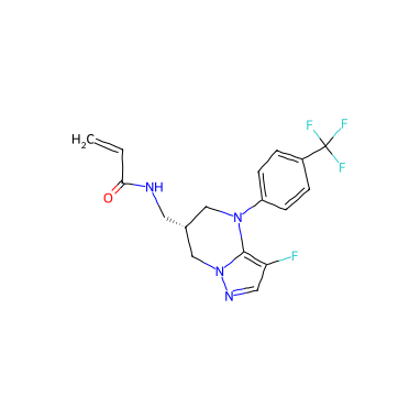 C=CC(=O)NC[C@@H]1CN(c2ccc(C(F)(F)F)cc2)c2c(F)cnn2C1